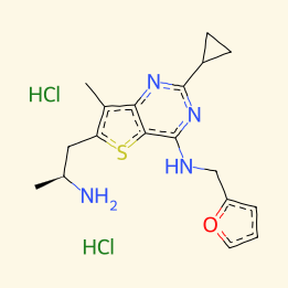 Cc1c(C[C@H](C)N)sc2c(NCc3ccco3)nc(C3CC3)nc12.Cl.Cl